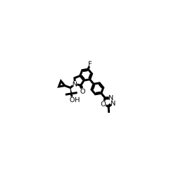 Cc1nnc(-c2ccc(-c3cc(F)cc4c3C(=O)N([C@H](C3CC3)C(C)(C)O)C4)cc2)o1